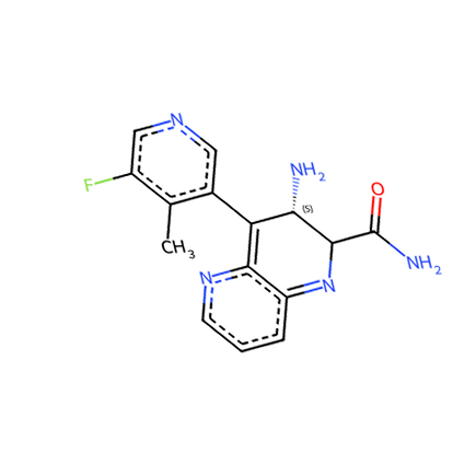 Cc1c(F)cncc1C1=c2ncccc2=NC(C(N)=O)[C@H]1N